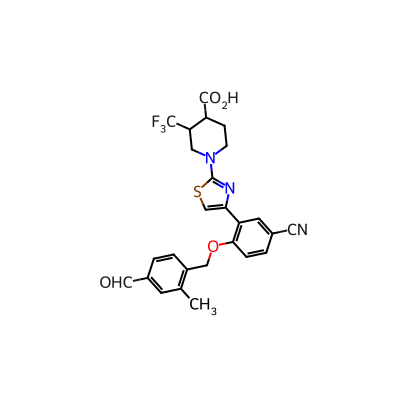 Cc1cc(C=O)ccc1COc1ccc(C#N)cc1-c1csc(N2CCC(C(=O)O)C(C(F)(F)F)C2)n1